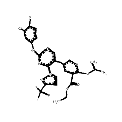 CCOC(=O)c1cc(-c2cnc(Nc3ccc(F)c(Cl)c3)nc2-n2ccc(C(F)(F)F)n2)cnc1OC(C)C